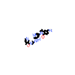 C/N=C/c1ccc2c(c1)C(C)(C)N(c1cncc(NC3CN(C(=O)c4cnccc4C)C3)c1)C2=O